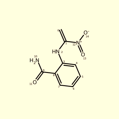 C=C(Nc1ccccc1C(N)=O)[N+](=O)[O-]